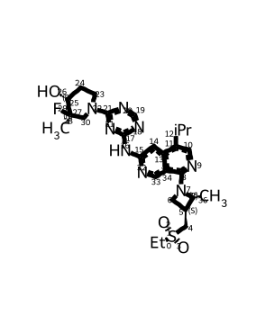 CCS(=O)(=O)C[C@H]1CN(c2ncc(C(C)C)c3cc(Nc4ncnc(N5CC[C@@H](O)[C@](C)(F)C5)n4)ncc23)[C@@H]1C